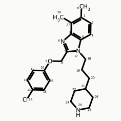 Cc1ccc2c(nc(COc3ccc(Cl)cc3)n2CCCC2CCNCC2)c1C